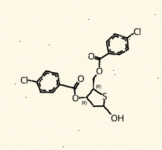 O=C(OC[C@H]1SC(O)C[C@H]1OC(=O)c1ccc(Cl)cc1)c1ccc(Cl)cc1